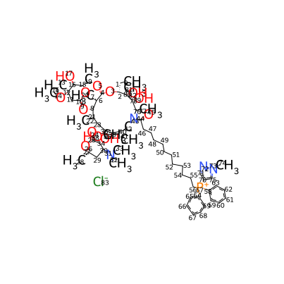 CC[C@H]1OC(=O)[C@H](C)[C@@H](O[C@H]2C[C@@](C)(OC)[C@@H](O)[C@H](C)O2)[C@H](C)[C@@H](O[C@@H]2O[C@H](C)C[C@H](N(C)C)[C@H]2O)[C@](C)(O)C[C@@H](C)CN(C(=O)CCCCCCCCCCC[P+](c2ccccc2)(c2ccccc2)c2cnn(C)c2)[C@H](C)[C@@H](O)[C@]1(C)O.[Cl-]